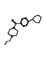 CCCN1CCN(C(=O)c2ccc(C3CCCCC3)cc2)CC1